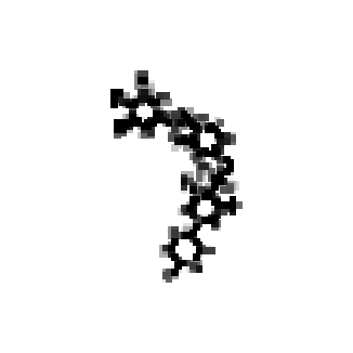 CC1CCC(c2cc(F)c(C(F)(F)Oc3ccc4nc(-c5cc(F)c(F)c(F)c5)sc4c3)c(F)c2)CC1